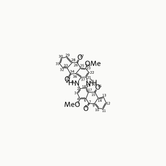 [2H]n1c2cc(OC)c3c(=O)c4ccccc4c(=O)c3c2n([2H])c2cc(OC)c3c(=O)c4ccccc4c(=O)c3c21